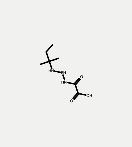 CCC(C)(C)NBNC(=O)C(=O)O